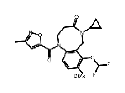 COc1ccc2c(c1OC(F)F)CN(C1CC1)C(=O)CCN2C(=O)c1cc(C)no1